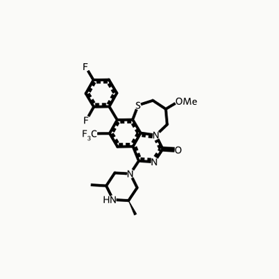 COC1CSc2c(-c3ccc(F)cc3F)c(C(F)(F)F)cc3c(N4CC(C)N[C@H](C)C4)nc(=O)n(c23)C1